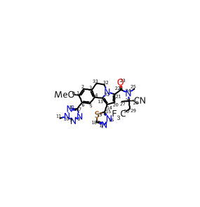 COc1cc2c(cc1-c1nnn(C)n1)-c1c(-c3nncs3)cc(C(=O)N(C)[C@](C)(C#N)CC(F)(F)F)n1CC2